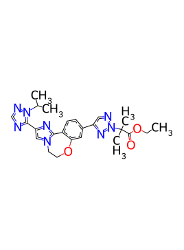 CCOC(=O)C(C)(C)n1ncc(-c2ccc3c(c2)OCCn2cc(-c4ncnn4C(C)C)nc2-3)n1